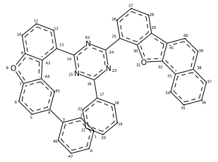 c1ccc(-c2ccc3oc4cccc(-c5nc(-c6ccccc6)nc(-c6cccc7c6oc6c8ccccc8ccc76)n5)c4c3c2)cc1